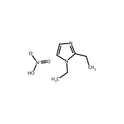 CCc1nccn1CC.O=[N+]([O-])O